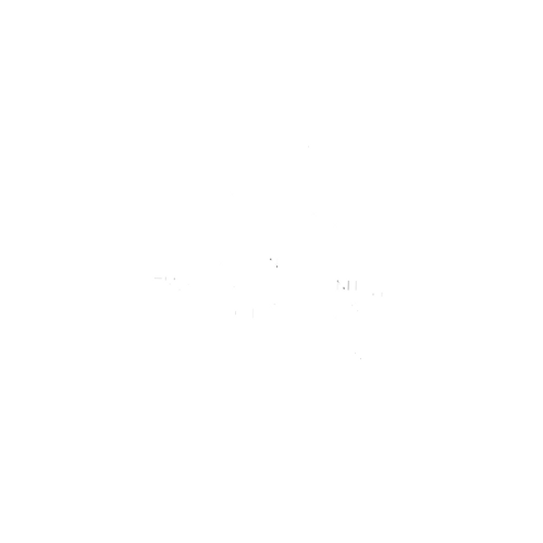 CC1(CC(=O)O)CC(c2cccc(Cl)c2)C(c2ccc(Cl)cc2)N(C(CNS(=O)(=O)c2ccc(Cl)s2)C2CC2)C1=O